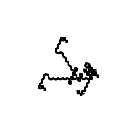 CCCCC/C=C\C/C=C\CCCCCCCC(=O)OCC(COC(=O)CCCCCCC/C=C\C/C=C\CCCCC)OC(=O)CCC(CCCCCC)OC(=O)NC(C)(C)CN1CCCC1